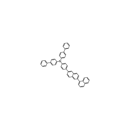 c1ccc(-c2ccc(N(c3ccc(-c4ccccc4)cc3)c3ccc(-c4ccc5cc(-c6cccc7ccccc67)ccc5c4)cc3)cc2)cc1